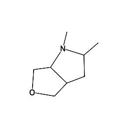 CC1CC2COCC2N1C